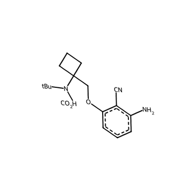 CC(C)(C)N(C(=O)O)C1(COc2cccc(N)c2C#N)CCC1